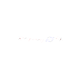 CC(C)(C)OCCOCCOCCOCCN1CCN(CCOC(C)(C)C)CC1